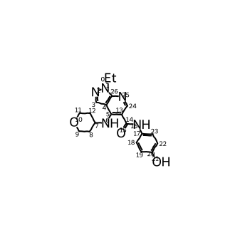 CCn1ncc2c(NC3CCOCC3)c(C(=O)Nc3ccc(O)cc3)cnc21